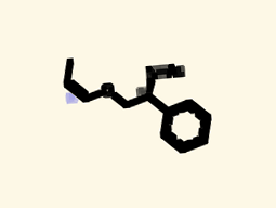 C/C=C\OC[C@@H](NC(C)=O)c1ccccc1